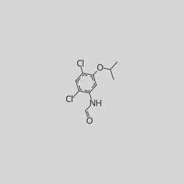 CC(C)Oc1cc(NC=O)c(Cl)cc1Cl